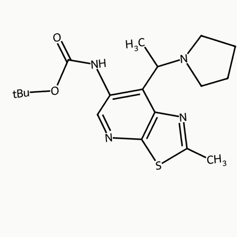 Cc1nc2c(C(C)N3CCCC3)c(NC(=O)OC(C)(C)C)cnc2s1